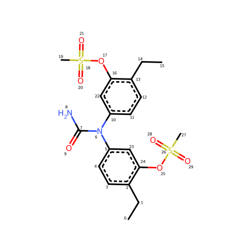 CCc1ccc(N(C(N)=O)c2ccc(CC)c(OS(C)(=O)=O)c2)cc1OS(C)(=O)=O